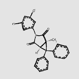 C[C@@]12C(=O)N(c3cc(Cl)cc(Cl)c3)C(=O)[C@@H]1C2(c1ccccc1)c1ccccc1